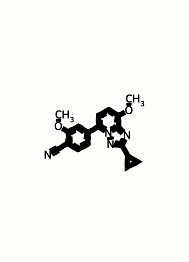 COc1cc(-c2ccc(OC)c3nc(C4CC4)nn23)ccc1C#N